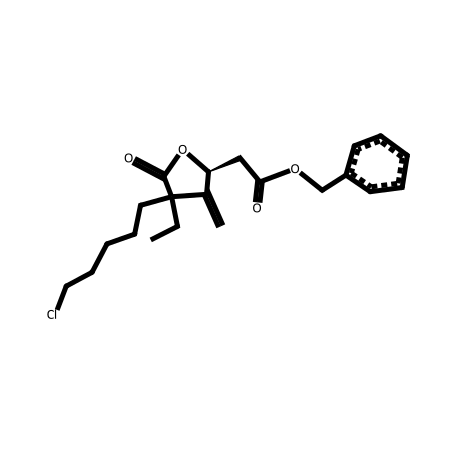 C=C1[C@H](CC(=O)OCc2ccccc2)OC(=O)C1(CC)CCCCCCl